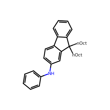 CCCCCCCCC1(CCCCCCCC)c2ccccc2-c2ccc(Nc3ccccc3)cc21